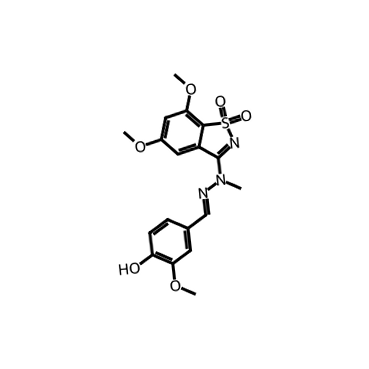 COc1cc(OC)c2c(c1)C(N(C)N=Cc1ccc(O)c(OC)c1)=NS2(=O)=O